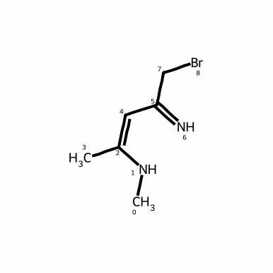 CN/C(C)=C\C(=N)CBr